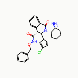 N[C@H]1CCCC[C@@H]1N1C(=O)c2ccccc2[C@@H](C(=O)NOCc2ccccc2)C1C1C=CC(Cl)=C1